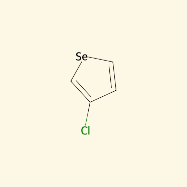 Clc1cc[se]c1